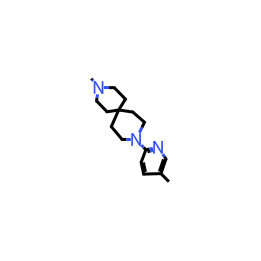 Cc1ccc(N2CCC3(CCN(C)CC3)CC2)nc1